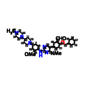 CNc1nc(Nc2ccc(N3CCC(N4CCN(C)CC4)CC3)cc2OC)ncc1-c1ccc(OCc2ccccc2)c(C=O)c1